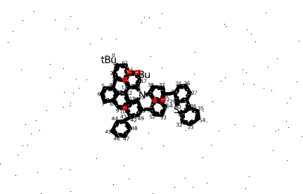 CC(C)(C)c1cc(-c2cccc3cccc(-c4ccccc4N(c4ccc(-c5cccc6c5sc5ccccc56)cc4)c4ccc(-c5ccccc5)cc4-c4ccccc4)c23)cc(C(C)(C)C)c1